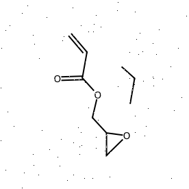 C=CC(=O)OCC1CO1.CCC